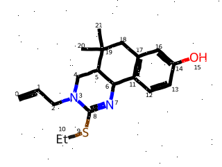 C=CCN1CC2C(N=C1SCC)c1ccc(O)cc1CC2(C)C